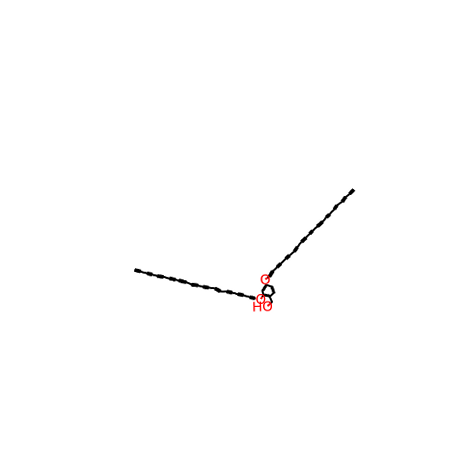 C#CC#CC#CC#CC#CC#CC#CC#CC#CC#CC#COc1ccc(CO)c(OC#CC#CC#CC#CC#CC#CC#CC#CC#CC#CC#C)c1